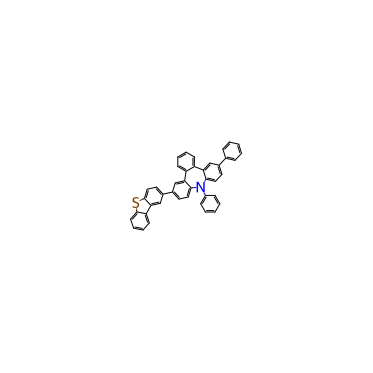 c1ccc(-c2ccc3c(c2)-c2ccccc2-c2cc(-c4ccc5sc6ccccc6c5c4)ccc2N3c2ccccc2)cc1